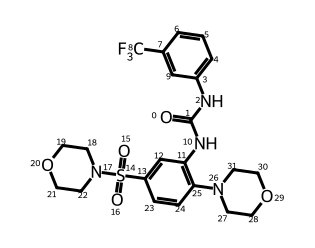 O=C(Nc1cccc(C(F)(F)F)c1)Nc1cc(S(=O)(=O)N2CCOCC2)ccc1N1CCOCC1